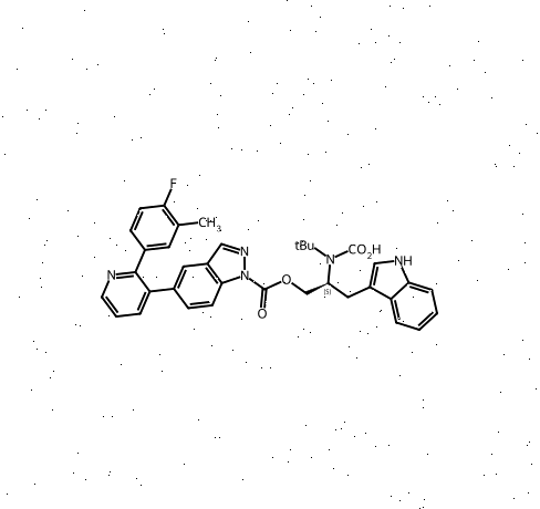 Cc1cc(-c2ncccc2-c2ccc3c(cnn3C(=O)OC[C@H](Cc3c[nH]c4ccccc34)N(C(=O)O)C(C)(C)C)c2)ccc1F